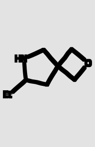 CCC1CC2(CN1)COC2